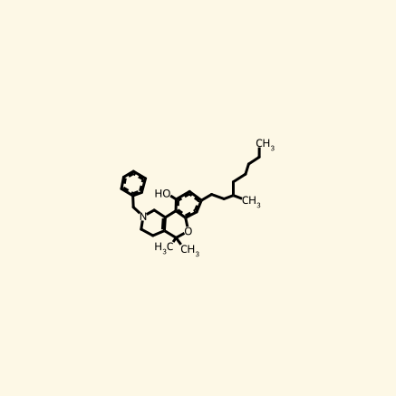 CCCCCC(C)CCc1cc(O)c2c(c1)OC(C)(C)C1=C2CN(Cc2ccccc2)CC1